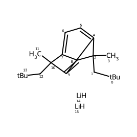 CC(C)(C)CC1(C)C2=CC=C3C1=C2C3(C)CC(C)(C)C.[LiH].[LiH]